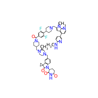 CNc1ccc(-c2ccnc3c2cc(CN2CCC(c4c(F)cc(C(=O)N5CCC(CN6CCN(Cc7ccc8c(c7)C7(CC7)C(=O)N8C7CCC(=O)NC7=O)C[C@@H]6C)CC5)cc4F)CC2)n3C)cn1